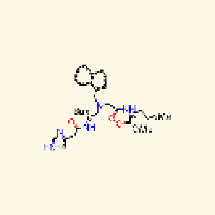 CC[C@H](C)[C@@H](CN(CC(=O)N[C@@H](CCSC)C(=O)OC)Cc1cccc2ccccc12)NC(=O)Cc1c[nH]cn1